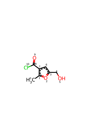 Cc1oc(CO)cc1C(=O)Cl